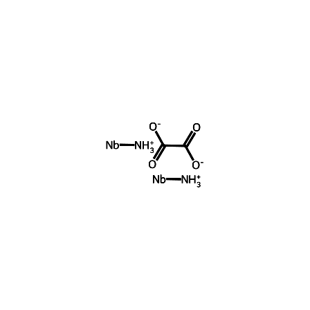 O=C([O-])C(=O)[O-].[NH3+][Nb].[NH3+][Nb]